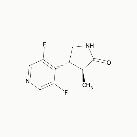 C[C@@H]1C(=O)NC[C@H]1c1c(F)cncc1F